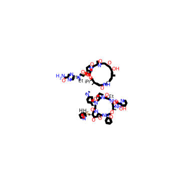 CCN(CC)CCS(=O)(=O)[C@@H]1CCN2C(=O)c3coc(n3)CC(=O)C[C@H](O)/C=C(C)\C=C/CNC(=O)/C=C\[C@@H](C)[C@@H](C(C)C)OC(=O)[C@@H]12.CC[C@@H]1NC(=O)[C@@H](NC(=O)c2ncccc2O)[C@@H](C)OC(=O)[C@H](c2ccccc2)NC(=O)[C@@H]2CC(=O)[C@H](CS[C@@H]3C[N@]4CC[C@H]3CC4)CN2C(=O)[C@H](Cc2ccc(N(C)C)cc2)N(C)C(=O)[C@@H]2CCCN2C1=O.NC(=O)c1cnccn1